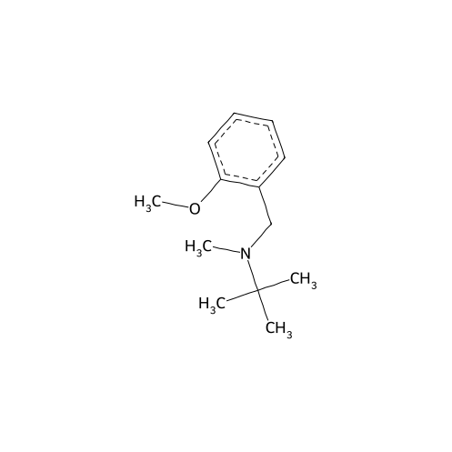 COc1ccccc1CN(C)C(C)(C)C